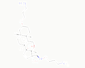 C[C@]12CC[C@H](OCCCN)C[C@H]1CC[C@@H]1[C@@H]2CC[C@]2(C)[C@@](O)(/C=N/OCCCN)CC[C@]12O